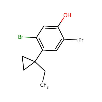 CC(C)c1cc(C2(CC(F)(F)F)CC2)c(Br)cc1O